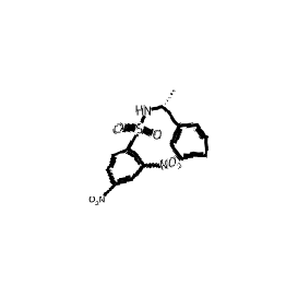 C[C@@H](NS(=O)(=O)c1ccc([N+](=O)[O-])cc1[N+](=O)[O-])c1ccccc1